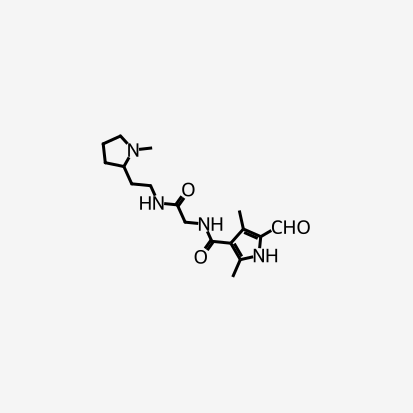 Cc1[nH]c(C=O)c(C)c1C(=O)NCC(=O)NCCC1CCCN1C